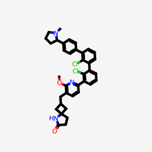 COc1nc(-c2cccc(-c3cccc(-c4ccc(C5CCCN5C)cc4)c3Cl)c2Cl)ccc1CC1CC2(CCC(=O)N2)C1